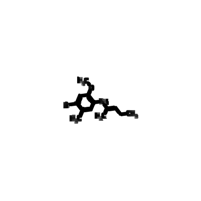 CC/C=C(\C)Nc1cc(C)c(Br)cc1OC